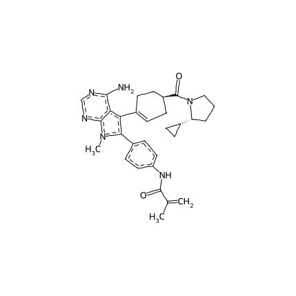 C=C(C)C(=O)Nc1ccc(-c2c(C3=CC[C@H](C(=O)N4CCC[C@@H]4C4CC4)CC3)c3c(N)ncnc3n2C)cc1